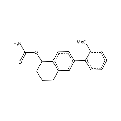 COc1ccccc1-c1ccc2c(c1)CCCC2OC(N)=O